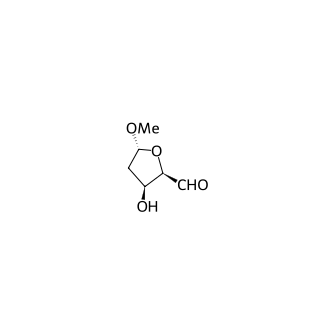 CO[C@H]1C[C@H](O)[C@H](C=O)O1